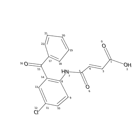 O=C(O)C=CC(=O)Nc1ccc(Cl)cc1C(=O)c1ccccc1